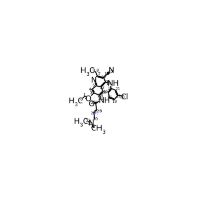 CCOc1cc2nc(CC)c(C#N)c(Nc3cccc(Cl)c3)c2cc1NC(=O)/C=C/CN(C)C